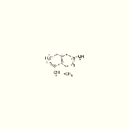 CCC(CC(=O)O)=C(CC)C(=O)O